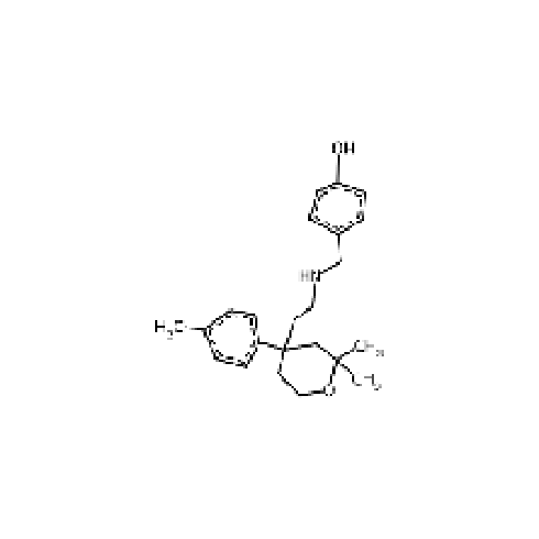 Cc1ccc(C2(CCNCc3ccc(O)cc3)CCOC(C)(C)C2)cc1